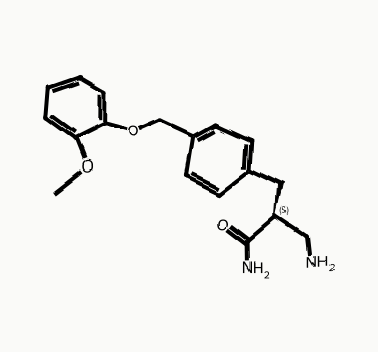 COc1ccccc1OCc1ccc(C[C@@H](CN)C(N)=O)cc1